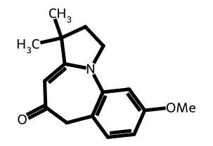 COc1ccc2c(c1)N1CCC(C)(C)C1=CC(=O)C2